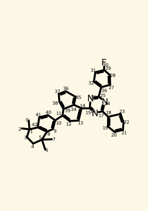 CC1(C)CCC(C)(C)c2cc(-c3ccc(-c4nc(-c5ccccc5)nc(-c5ccc(F)cc5)n4)c4ccccc34)ccc21